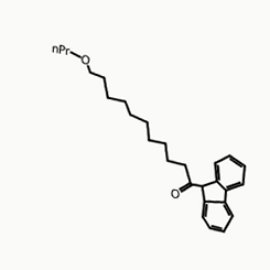 CCCOCCCCCCCCCCC(=O)C1c2ccccc2-c2ccccc21